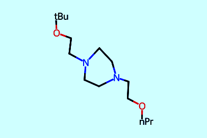 CCCOCCN1CCN(CCOC(C)(C)C)CC1